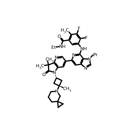 CCNC(=O)c1cc(Nc2nc(-c3cnc4c(c3)N([C@H]3C[C@@](C)(N5CCCC6(CC6)C5)C3)C(=O)C4(C)C)cc3ncn(C(C)C)c23)c(F)c(F)c1C